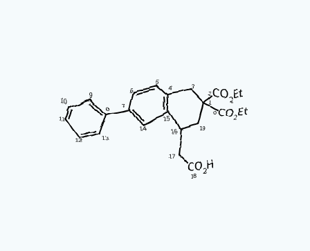 CCOC(=O)C1(C(=O)OCC)Cc2ccc(-c3ccccc3)cc2C(CC(=O)O)C1